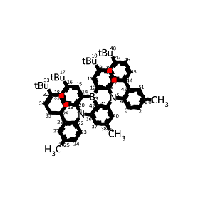 Cc1ccc(N2c3ccc(C(C)(C)C)cc3B3c4cc(C(C)(C)C)ccc4N(c4ccc(C)cc4C4C=CC(C(C)(C)C)=CC4)c4cc(C)cc2c43)c(-c2ccc(C(C)(C)C)cc2)c1